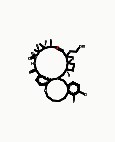 C[C@@H]1[C@@H](C)S(=O)(=O)NC(=O)c2ccc3c(c2)N(Cc2ccc(Cl)c(F)c2CCCCO3)C[C@@H]2CC[C@H]2[C@@H](OCC=O)C2=C[C@H]1C2